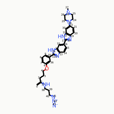 C=C(CCCOc1cccc(-c2nc3ccc(-c4nc5ccc(N6CCN(C)CC6)cc5[nH]4)cc3[nH]2)c1)NCCCN=[N+]=[N-]